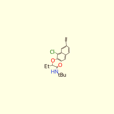 C#Cc1ccc2ccc(OC(CC)C(=O)NC(C)(C)C)c(Cl)c2c1